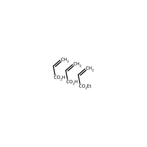 C=CC(=O)O.C=CC(=O)O.C=CC(=O)OCC